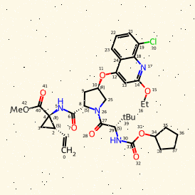 C=C[C@@H]1C[C@]1(NC(=O)[C@@H]1C[C@@H](Oc2cc(OCC)nc3c(Cl)cccc23)CN1C(=O)[C@@H](NC(=O)OC1CCCC1)C(C)(C)C)C(=O)OC